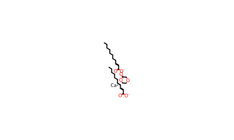 CCCCCCCCC=CC(=O)[O-].CCCCCCCCC=CC(=O)[O-].O=C1COCCO1.[Ca+2]